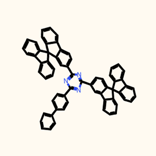 c1ccc(-c2ccc(-c3nc(-c4ccc5c(c4)-c4ccccc4C54c5ccccc5-c5ccccc54)nc(-c4ccc5c(c4)C4(c6ccccc6-c6ccccc64)c4ccccc4-5)n3)cc2)cc1